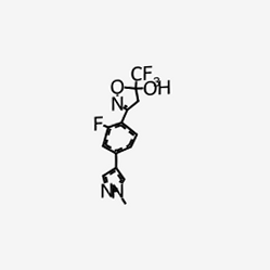 Cn1cc(-c2ccc(C3=NOC(O)(C(F)(F)F)C3)c(F)c2)cn1